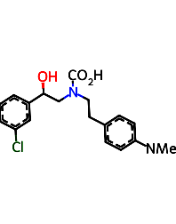 CNc1ccc(CCN(C[C@H](O)c2cccc(Cl)c2)C(=O)O)cc1